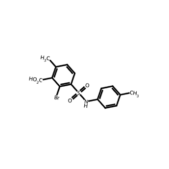 Cc1ccc(NS(=O)(=O)c2ccc(C)c(C(=O)O)c2Br)cc1